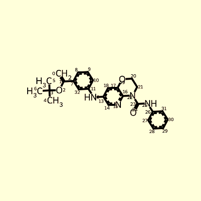 C=C(OC(C)(C)C)c1cccc(Nc2cnc3c(c2)OCCN3C(=O)Nc2ccccc2)c1